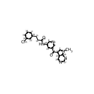 Cn1cc(C(=O)c2cncc(NC(=O)CCc3cccc(Cl)c3)c2)c2cncnc21